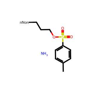 CCCCCCCCCCCCOS(=O)(=O)c1ccc(C)cc1.N